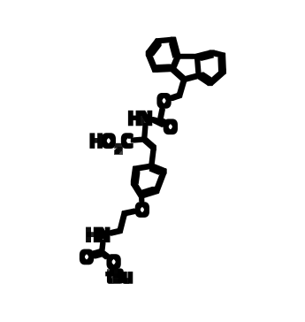 CC(C)(C)OC(=O)NCCOc1ccc(CC(NC(=O)OCC2c3ccccc3-c3ccccc32)C(=O)O)cc1